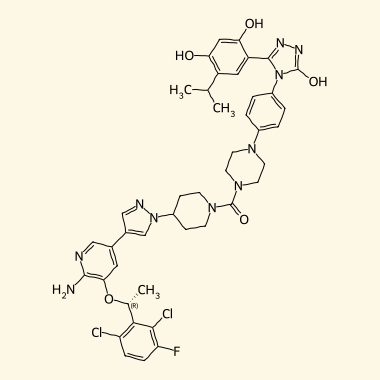 CC(C)c1cc(-c2nnc(O)n2-c2ccc(N3CCN(C(=O)N4CCC(n5cc(-c6cnc(N)c(O[C@H](C)c7c(Cl)ccc(F)c7Cl)c6)cn5)CC4)CC3)cc2)c(O)cc1O